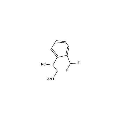 CC(=O)OCC(C#N)c1ccccc1C(F)F